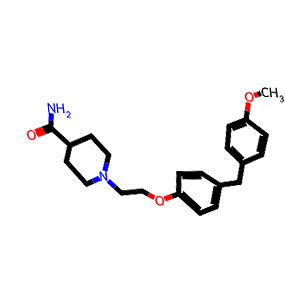 COc1ccc(Cc2ccc(OCCN3CCC(C(N)=O)CC3)cc2)cc1